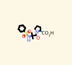 CC(C)(NS(=O)(=O)c1ccccc1)C(=O)N1CCC[C@H]1C(=O)O